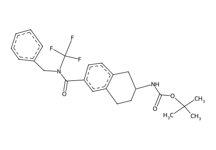 CC(C)(C)OC(=O)NC1CCc2cc(C(=O)N(Cc3ccccc3)C(F)(F)F)ccc2C1